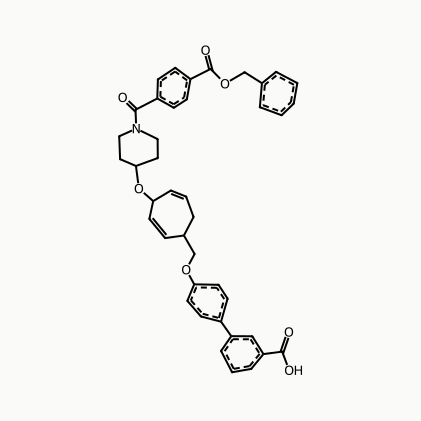 O=C(O)c1cccc(-c2ccc(OCC3C=CC(OC4CCN(C(=O)c5ccc(C(=O)OCc6ccccc6)cc5)CC4)C=CC3)cc2)c1